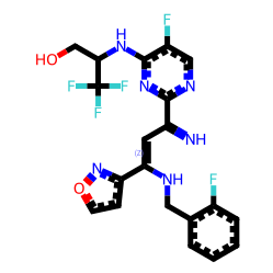 N=C(/C=C(\NCc1ccccc1F)c1ccon1)c1ncc(F)c(NC(CO)C(F)(F)F)n1